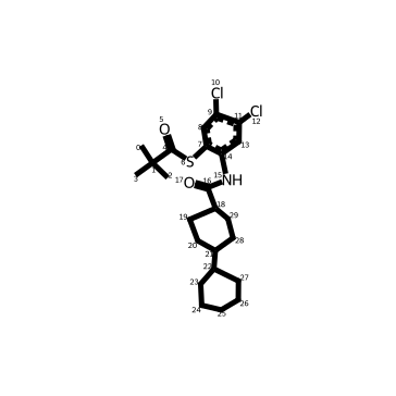 CC(C)(C)C(=O)Sc1cc(Cl)c(Cl)cc1NC(=O)C1CCC(C2CCCCC2)CC1